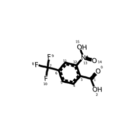 O=C(O)c1ccc(C(F)(F)F)cc1[N+](=O)O